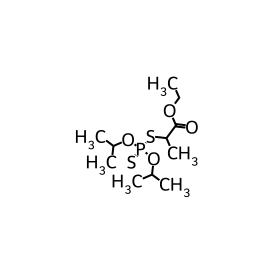 CCOC(=O)C(C)SP(=S)(OC(C)C)OC(C)C